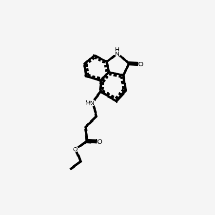 CCOC(=O)CCNc1ccc2c3c(cccc13)NC2=O